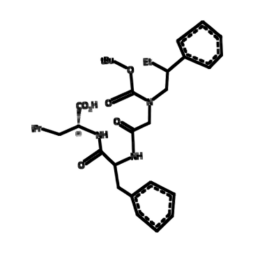 CCC(CN(CC(=O)NC(Cc1ccccc1)C(=O)N[C@H](CC(C)C)C(=O)O)C(=O)OC(C)(C)C)c1ccccc1